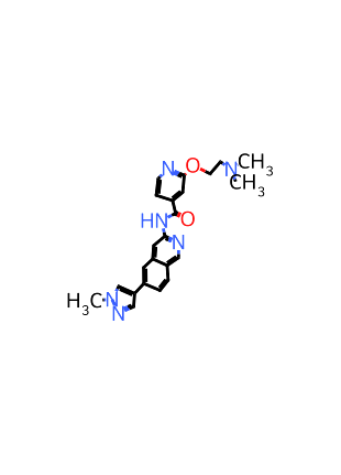 CN(C)CCOc1cc(C(=O)Nc2cc3cc(-c4cnn(C)c4)ccc3cn2)ccn1